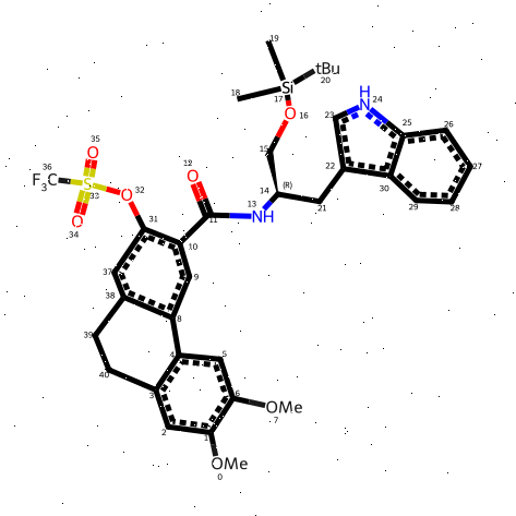 COc1cc2c(cc1OC)-c1cc(C(=O)N[C@@H](CO[Si](C)(C)C(C)(C)C)Cc3c[nH]c4ccccc34)c(OS(=O)(=O)C(F)(F)F)cc1CC2